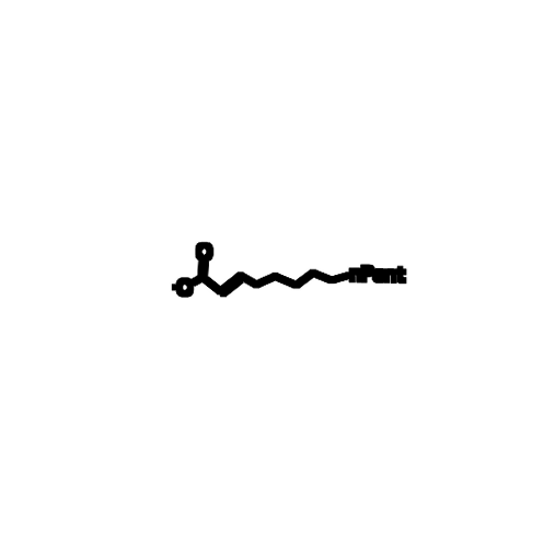 CCCCCCCCCCC=CC([O])=O